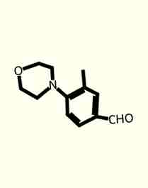 Cc1cc(C=O)ccc1N1CCOCC1